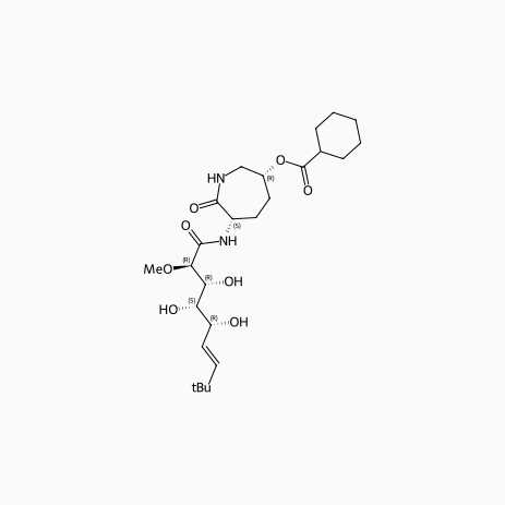 CO[C@@H](C(=O)N[C@H]1CC[C@@H](OC(=O)C2CCCCC2)CNC1=O)[C@H](O)[C@@H](O)[C@H](O)C=CC(C)(C)C